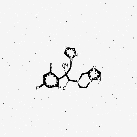 C[C@@H](N1CCn2ncnc2C1)[C@](O)(Cn1cncn1)c1ccc(F)cc1F